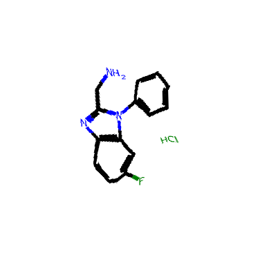 Cl.NCc1nc2ccc(F)cc2n1-c1ccccc1